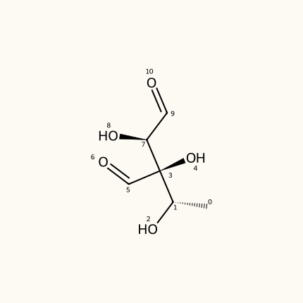 C[C@H](O)[C@](O)(C=O)[C@@H](O)C=O